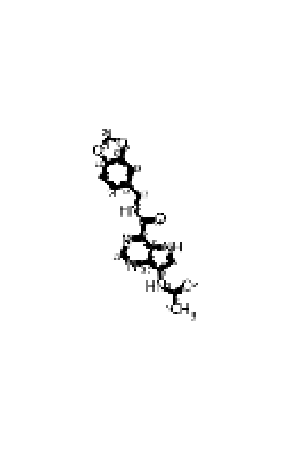 CC(=O)Nc1c[nH]c2c(C(=O)NCc3ccc4c(c3)OCO4)ncnc12